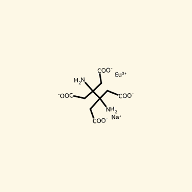 NC(CC(=O)[O-])(CC(=O)[O-])C(N)(CC(=O)[O-])CC(=O)[O-].[Eu+3].[Na+]